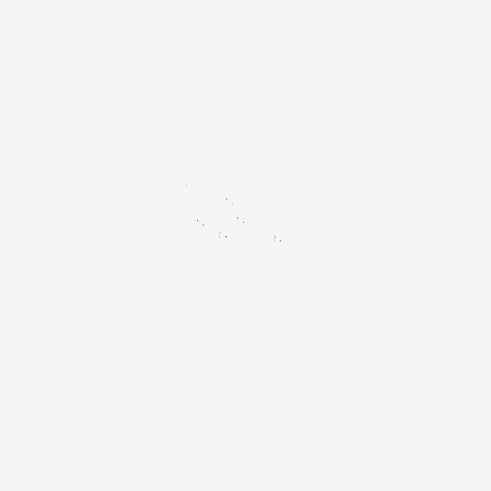 CC(=NOCc1c(I)cccc1-n1nnn(C)c1=O)c1cccc(C(F)(F)F)c1